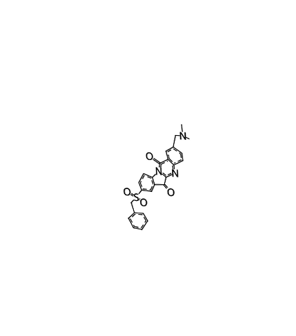 CN(C)Cc1ccc2nc3n(c(=O)c2c1)-c1ccc(S(=O)(=O)Cc2ccccc2)cc1C3=O